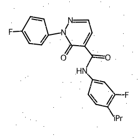 CC(C)c1ccc(NC(=O)c2ccnn(-c3ccc(F)cc3)c2=O)cc1F